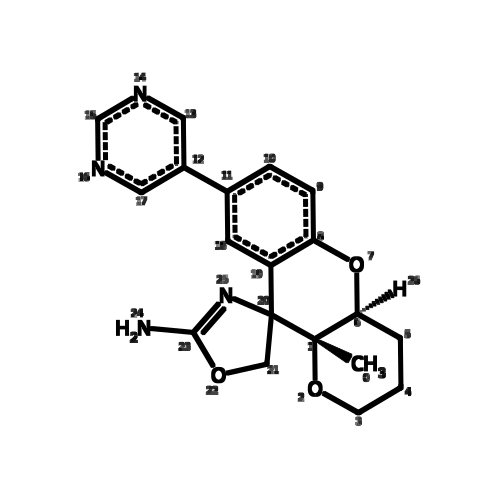 C[C@]12OCCC[C@@H]1Oc1ccc(-c3cncnc3)cc1C21COC(N)=N1